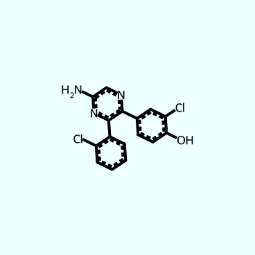 Nc1cnc(-c2ccc(O)c(Cl)c2)c(-c2ccccc2Cl)n1